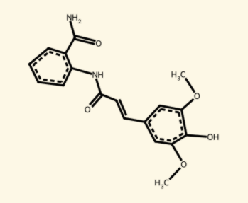 COc1cc(/C=C/C(=O)Nc2ccccc2C(N)=O)cc(OC)c1O